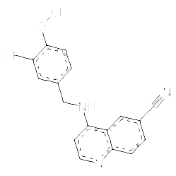 COc1ccc(CNc2ccnc3ccc(C#N)cc23)cc1Cl